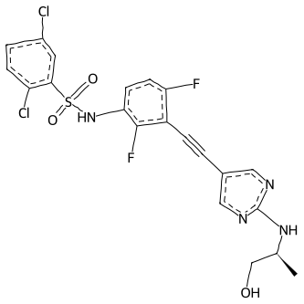 C[C@@H](CO)Nc1ncc(C#Cc2c(F)ccc(NS(=O)(=O)c3cc(Cl)ccc3Cl)c2F)cn1